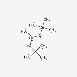 C[SiH](OC(C)(C)C)O[Si](C)(C)C